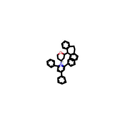 c1ccc(-c2cc(-c3ccccc3)[n+]([C@H]3CCOC(C4c5ccccc5CCc5ccccc54)C3)c(-c3ccccc3)c2)cc1